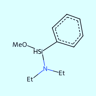 CCN(CC)[SiH](OC)c1ccccc1